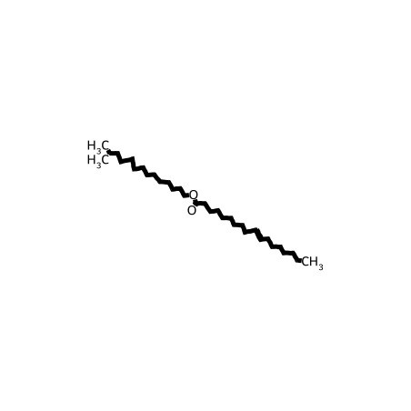 CCCCCCCC=CCCCCCCCCC(=O)OCCCCCCCCCCCCC(C)C